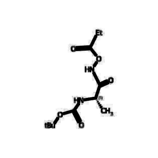 CCC(=O)ONC(=O)[C@H](C)NC(=O)OC(C)(C)C